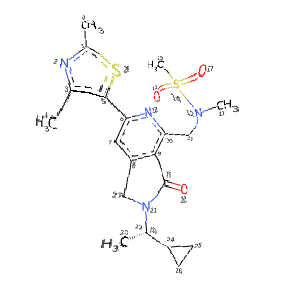 Cc1nc(C)c(-c2cc3c(c(CN(C)S(C)(=O)=O)n2)C(=O)N([C@@H](C)C2CC2)C3)s1